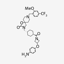 COc1cc(C(F)(F)F)ccc1CN1CCC2(CC1)CN(C[C@H]1CC[C@H](C(=O)N3CC(Oc4ccc(N)cc4)C3)CC1)C(=O)O2